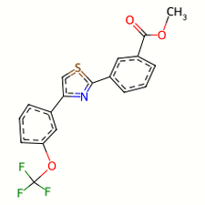 COC(=O)c1cccc(-c2nc(-c3cccc(OC(F)(F)F)c3)cs2)c1